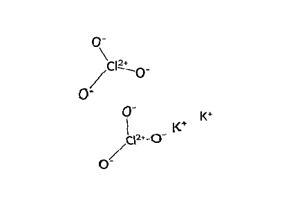 [K+].[K+].[O-][Cl+2]([O-])[O-].[O-][Cl+2]([O-])[O-]